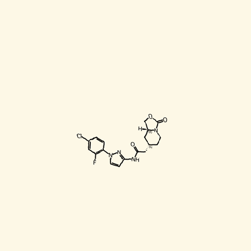 O=C(C[C@H]1CCN2C(=O)OC[C@H]2C1)Nc1ccn(-c2ccc(Cl)cc2F)n1